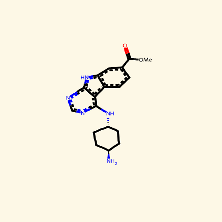 COC(=O)c1ccc2c(c1)[nH]c1ncnc(N[C@H]3CC[C@H](N)CC3)c12